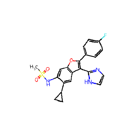 CS(=O)(=O)Nc1cc2oc(-c3ccc(F)cc3)c(-c3ncc[nH]3)c2cc1C1CC1